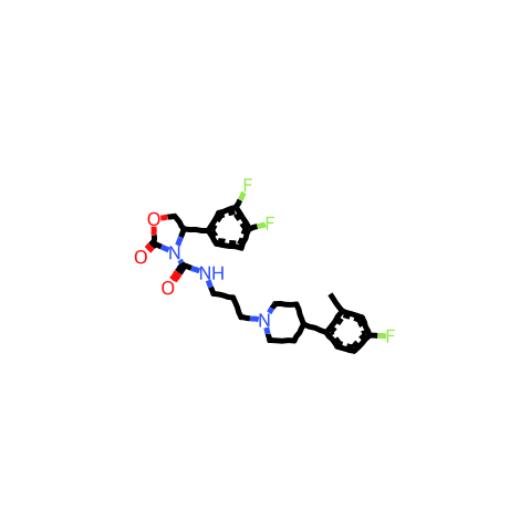 Cc1cc(F)ccc1C1CCN(CCCNC(=O)N2C(=O)OCC2c2ccc(F)c(F)c2)CC1